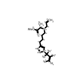 [2H]C([2H])=C([2H])C([2H])([2H])n1cc(CCCCN(CC=C)[C@@H](C)C(=O)OC)nn1